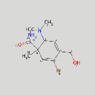 CN(C)C1C=C(CO)C(Br)=CC1(C)C(N)=O